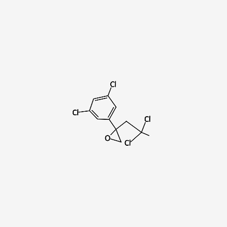 CC(Cl)(Cl)CC1(c2cc(Cl)cc(Cl)c2)CO1